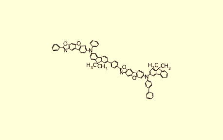 CC1(C)c2ccccc2-c2cc(N(c3ccc(-c4ccccc4)cc3)c3ccc4c(c3)oc3cc5nc(-c6ccc(-c7ccc8c(c7)C(C)(C)c7ccc(N(c9ccccc9)c9ccc%10c(c9)oc9cc%11oc(-c%12ccccc%12)nc%11cc9%10)cc7-8)cc6)oc5cc34)ccc21